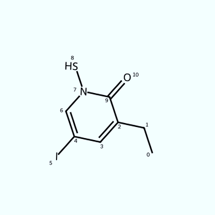 CCc1cc(I)cn(S)c1=O